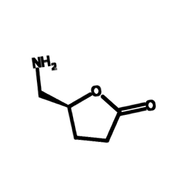 NC[C@@H]1CCC(=O)O1